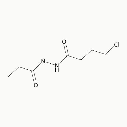 CCC(=O)[N]NC(=O)CCCCl